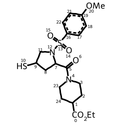 CCOC(=O)C1CCN(C(=O)C2CC(S)CN2S(=O)(=O)c2ccc(OC)cc2)CC1